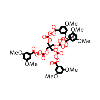 COc1cc(OC)cc(C(=O)OOC(=O)OCC(COC(=O)OOC(=O)c2cc(OC)cc(OC)c2)(COC(=O)OOC(=O)c2cc(OC)cc(OC)c2)COC(=O)OOC(=O)c2cc(OC)cc(OC)c2)c1